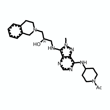 CC(=O)N1CCC(Nc2ncnc3c(NC[C@@H](O)CN4CCc5ccccc5C4)n(C)nc23)CC1